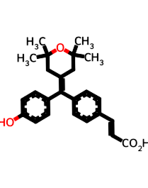 CC1(C)CC(=C(c2ccc(O)cc2)c2ccc(C=CC(=O)O)cc2)CC(C)(C)O1